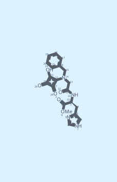 COC(=O)[C@H](Cc1c[nH]cn1)NC(=O)CN(Cc1ccccc1)c1c(O)c(=O)c1=O